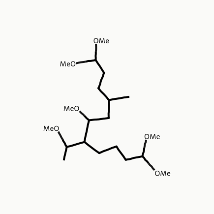 COC(CCCC(C(C)OC)C(CC(C)CCC(OC)OC)OC)OC